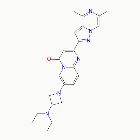 CCN(CC)C1CN(c2ccc3nc(-c4cc5c(C)nc(C)cn5n4)cc(=O)n3c2)C1